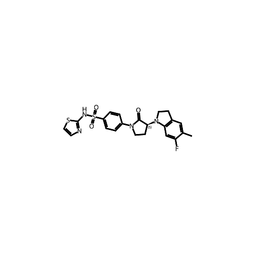 Cc1cc2c(cc1F)N([C@H]1CCN(c3ccc(S(=O)(=O)Nc4nccs4)cc3)C1=O)CC2